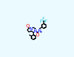 Cc1ccccc1C1C2CCC(=O)N2CCN1C(=O)N(C)Cc1cccc(C(F)(F)F)c1